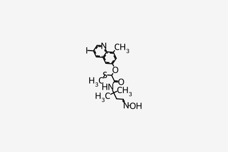 CSC(Oc1cc(C)c2ncc(I)cc2c1)C(=O)NC(C)(C)CC=NO